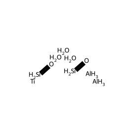 O.O.O.O=[SiH2].O=[SiH2].[AlH3].[AlH3].[Ti]